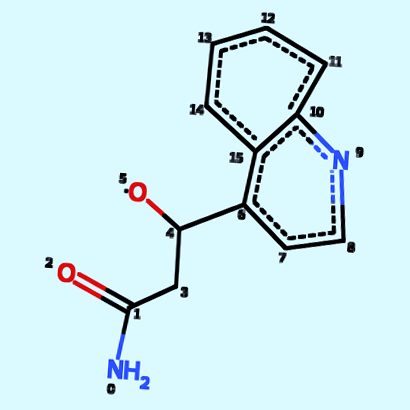 NC(=O)CC([O])c1ccnc2ccccc12